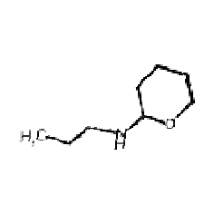 CCCN[C]1CCCCO1